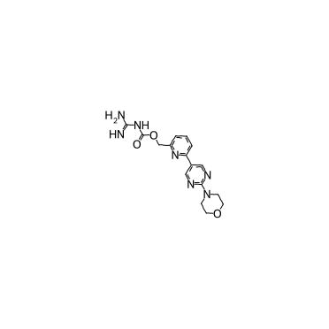 N=C(N)NC(=O)OCc1cccc(-c2cnc(N3CCOCC3)nc2)n1